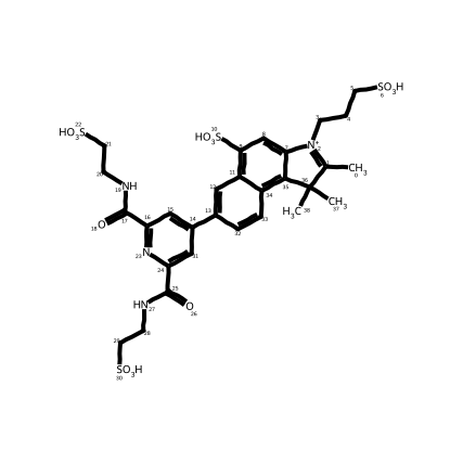 CC1=[N+](CCCS(=O)(=O)O)c2cc(S(=O)(=O)O)c3cc(-c4cc(C(=O)NCCS(=O)(=O)O)nc(C(=O)NCCS(=O)(=O)O)c4)ccc3c2C1(C)C